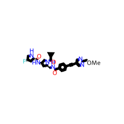 COCc1ncc(C#Cc2ccc(C(=O)NC[C@H]3C[C@@H](NC(=O)[C@@H]4C[C@H](F)CN4)CN3C(=O)C3CC3)cc2)cn1